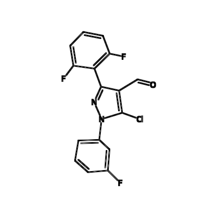 O=Cc1c(-c2c(F)cccc2F)nn(-c2cccc(F)c2)c1Cl